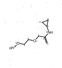 C=C(COCCOCCC)NC1CC1